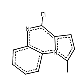 Cc1ccc2c(Cl)nc3ccccc3n12